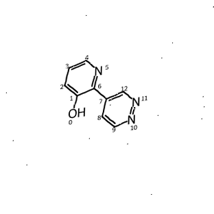 Oc1cccnc1-c1ccnnc1